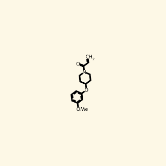 C=CC(=O)N1CCC(Oc2cccc(OC)c2)CC1